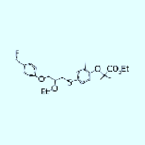 CCOC(=O)C(C)(C)Oc1ccc(SCC(COc2ccc(CF)cc2)OCC)cc1C